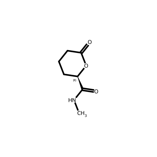 CNC(=O)[C@H]1CCCC(=O)O1